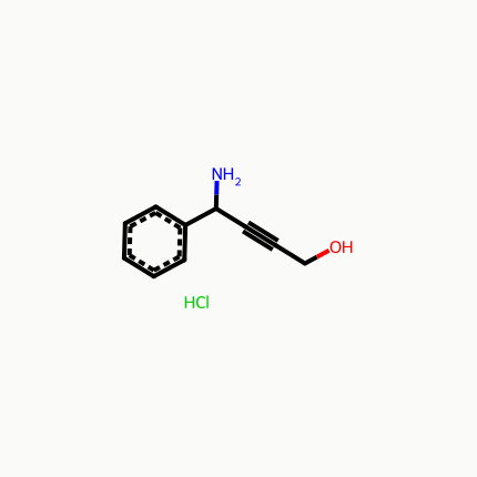 Cl.NC(C#CCO)c1ccccc1